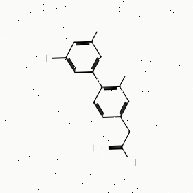 C=C(C)Cc1ccc(-c2cc(F)cc(F)c2)c(F)c1